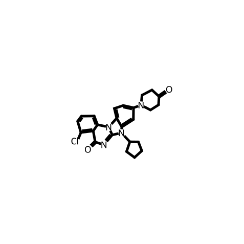 O=C1CCN(c2ccc3c(c2)n(C2CCCC2)c2nc(=O)c4c(Cl)cccc4n32)CC1